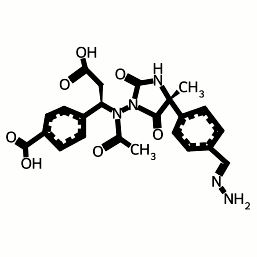 CC(=O)N([C@H](CC(=O)O)c1ccc(C(=O)O)cc1)N1C(=O)N[C@](C)(c2ccc(C=NN)cc2)C1=O